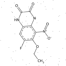 CCOc1c(F)cc2c(c1[N+](=O)[O-])[N]C(=O)C(=O)N2